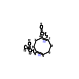 C1=C\CC/C=C\CC/1.C=O.C=O.[Co]